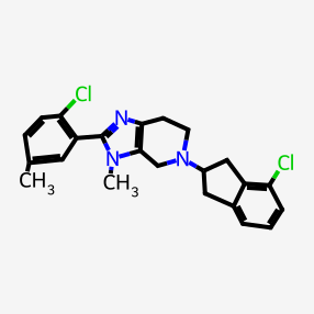 Cc1ccc(Cl)c(-c2nc3c(n2C)CN(C2Cc4cccc(Cl)c4C2)CC3)c1